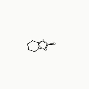 O=c1o[n+]2c(s1)CCCC2